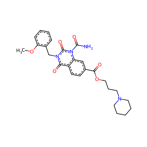 COc1ccccc1Cn1c(=O)c2ccc(C(=O)OCCCN3CCCCC3)cc2n(C(N)=O)c1=O